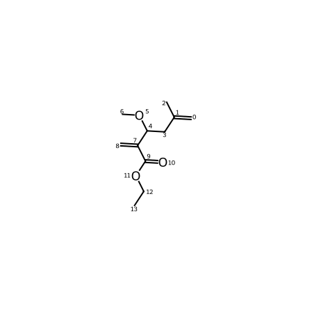 C=C(C)CC(OC)C(=C)C(=O)OCC